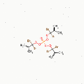 C=C(C)C(Br)(Br)OOP(=O)(OOC(Br)(Br)C(=C)C)OOC(Br)(Br)C(=C)C